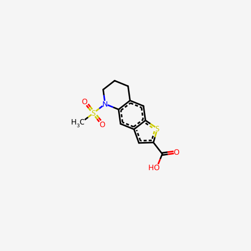 CS(=O)(=O)N1CCCc2cc3sc(C(=O)O)cc3cc21